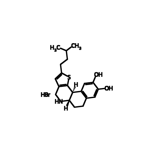 Br.CC(C)CCc1cc2c(s1)[C@H]1c3cc(O)c(O)cc3CC[C@@H]1NC2